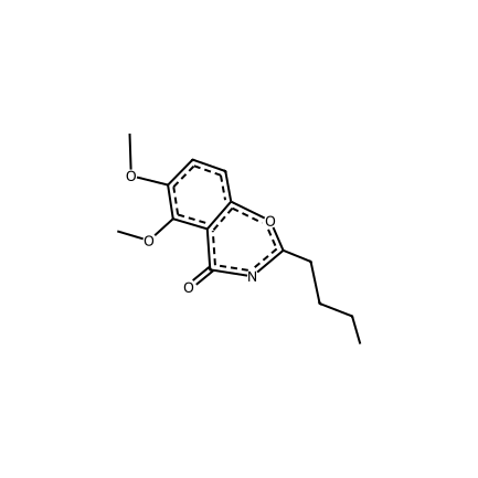 CCCCc1nc(=O)c2c(OC)c(OC)ccc2o1